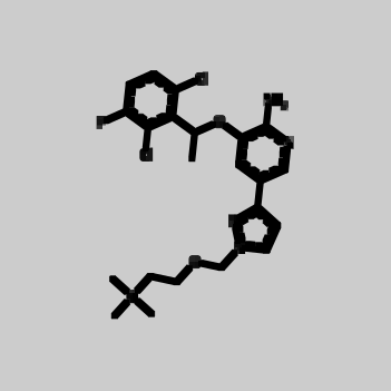 CC(Oc1cc(-c2ccn(COCC[Si](C)(C)C)n2)cnc1N)c1c(Cl)ccc(F)c1Cl